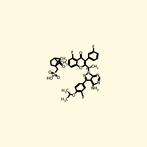 CC(C)Oc1ccc(-c2nn([C@H](C)c3oc4cccc(F)c4c(=O)c3-c3cccc(F)c3)c3ncnc(N)c23)cc1F.CC1(C)C2CCC1(CS(=O)(=O)O)C(=O)C2